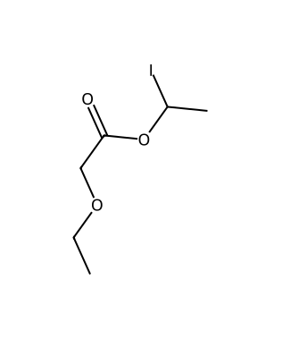 CCOCC(=O)OC(C)I